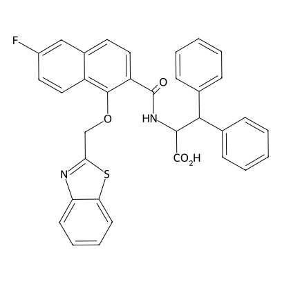 O=C(NC(C(=O)O)C(c1ccccc1)c1ccccc1)c1ccc2cc(F)ccc2c1OCc1nc2ccccc2s1